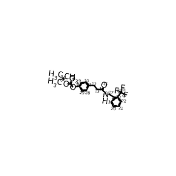 CC(C)(C)OC(=O)Oc1ccc(CCC(=O)NCc2ccccc2C(F)(F)F)cc1